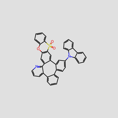 O=S1(=O)c2ccccc2Oc2cc3c(cc21)-c1cc(-n2c4ccccc4c4ccccc42)ccc1-c1ccccc1-c1cccnc1-3